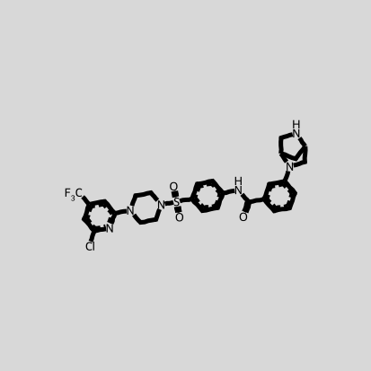 O=C(Nc1ccc(S(=O)(=O)N2CCN(c3cc(C(F)(F)F)cc(Cl)n3)CC2)cc1)c1cccc(N2CC3CC2CN3)c1